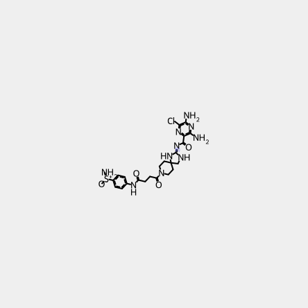 Nc1nc(N)c(C(=O)/N=C2\NCC3(CCN(C(=O)CCC(=O)Nc4ccc([S+](N)[O-])cc4)CC3)N2)nc1Cl